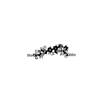 CC[C@@H](c1ncc(-c2ccc(-c3ccc(-c4cnc([C@@H]5CCCN5C(=O)[C@@H](NC(=O)OC)C(C)C)[nH]4)c4[nH]cc(C)c34)cc2)[nH]1)N(CC)C(=O)[C@@H](NC(=O)OC)C(C)C